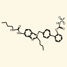 CCCCNC(=O)Nc1ccc2c(c1)nc(CCCC)n2Cc1ccc(-c2ccccc2OC(=O)NS(C)(=O)=O)cc1